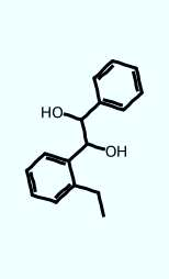 CCc1ccccc1C(O)C(O)c1ccccc1